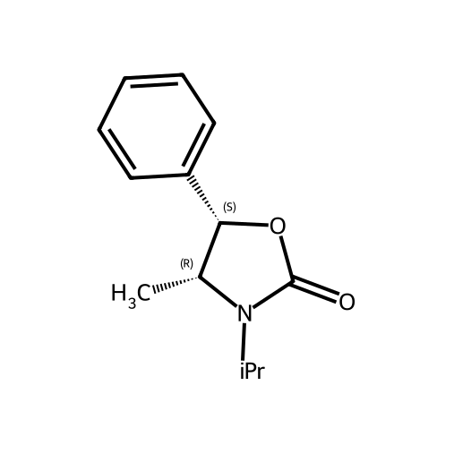 CC(C)N1C(=O)O[C@@H](c2ccccc2)[C@H]1C